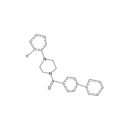 O=C(c1ccc(-c2ccccc2)cc1)N1CCN(c2ccccc2F)CC1